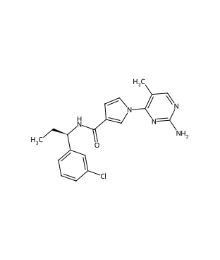 CC[C@@H](NC(=O)c1ccn(-c2nc(N)ncc2C)c1)c1cccc(Cl)c1